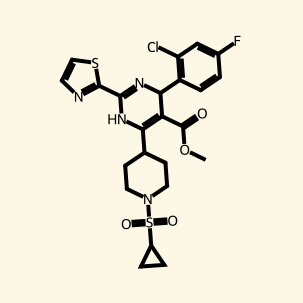 COC(=O)C1=C(C2CCN(S(=O)(=O)C3CC3)CC2)NC(c2nccs2)=NC1c1ccc(F)cc1Cl